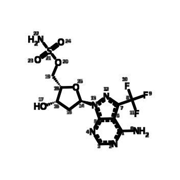 Nc1ncnc2c1c(C(F)(F)F)nn2[C@H]1C[C@H](O)[C@H](COS(N)(=O)=O)O1